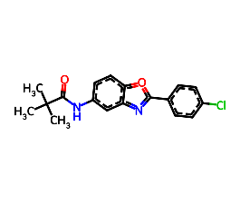 CC(C)(C)C(=O)Nc1ccc2oc(-c3ccc(Cl)cc3)nc2c1